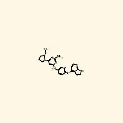 Nc1nc(Nc2ccc(Oc3ccnc4[nH]ccc34)c(F)c2)cc(N2CCC[C@H]2CO)n1